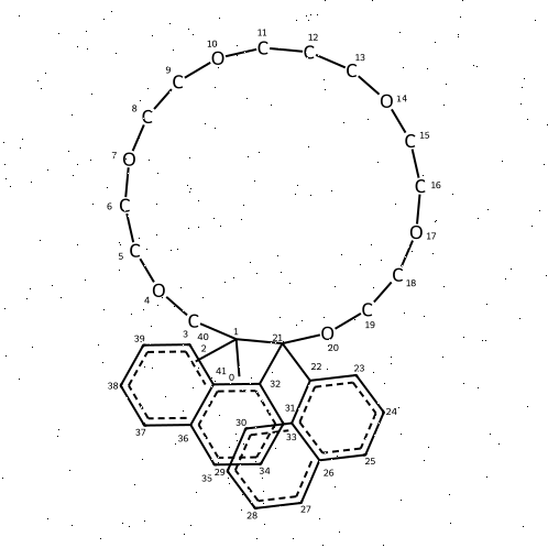 CC1(C)COCCOCCOCCCOCCOCCOC1(c1cccc2ccccc12)c1cccc2ccccc12